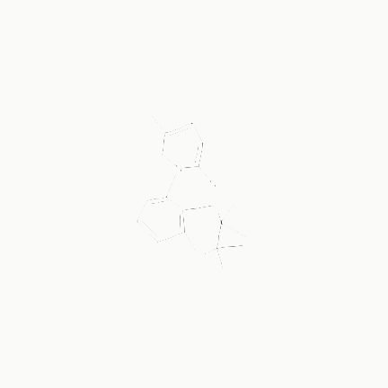 CC1=CC=C([N])N(c2cccc3c2OC(F)(F)C(F)(F)O3)C1